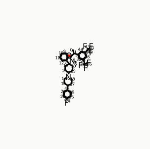 CC(C(=O)N(C)C1(c2ccccc2)CCC(N2CCC(c3ccc(F)cc3)CC2)CC1)c1cc(C(F)(F)F)cc(C(F)(F)F)c1